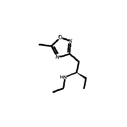 CCN[C@H](CC)Cc1noc(C)n1